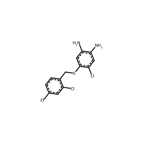 Nc1cc(Cl)c(SCc2ccc(Cl)cc2Cl)cc1N